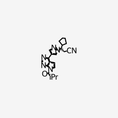 CC(C)C(=O)n1ccc2c(-c3cnn([C@H](CC#N)C4CCCC4)c3)ncnc21